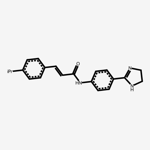 CC(C)c1ccc(/C=C/C(=O)Nc2ccc(C3=NCCN3)cc2)cc1